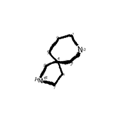 C1C[N]CC2(C1)CCNC2